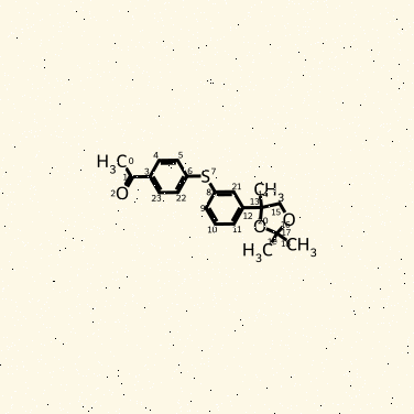 CC(=O)c1ccc(Sc2cccc(C3(C)COC(C)(C)O3)c2)cc1